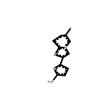 Nc1ccc(-c2cn3cc(I)ccc3n2)s1